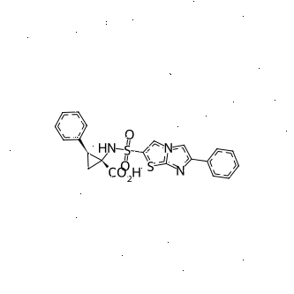 O=C(O)[C@@]1(NS(=O)(=O)c2cn3cc(-c4ccccc4)nc3s2)C[C@H]1c1ccccc1